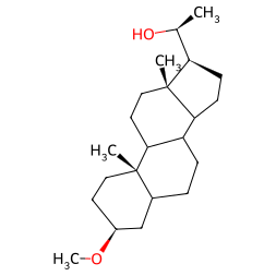 CO[C@H]1CC[C@@]2(C)C(CCC3C2CC[C@@]2(C)C3CC[C@@H]2[C@H](C)O)C1